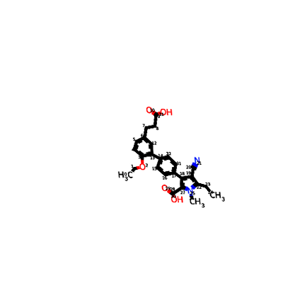 CCOc1ccc(CCC(=O)O)cc1-c1ccc(-c2c(C#N)c(CC)n(C)c2C(=O)O)cc1